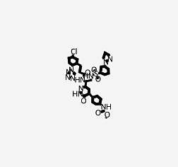 COC(=O)Nc1ccc(-c2cc(C(CNS(=O)(=O)c3cccc(-n4cccn4)c3)NC(=O)C=Cc3cc(Cl)ccc3-n3cnnn3)n[nH]c2=O)cc1